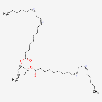 CCCCC/C=C\C/C=C\CCCCCCCC(=O)O[C@H]1C[C@H](C)C[C@H]1OC(=O)CCCCCCC/C=C\C/C=C\CCCCC